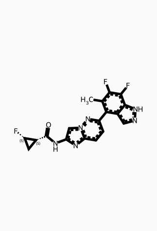 Cc1c(F)c(F)c2[nH]ncc2c1-c1ccc2nc(NC(=O)[C@@H]3C[C@@H]3F)cn2n1